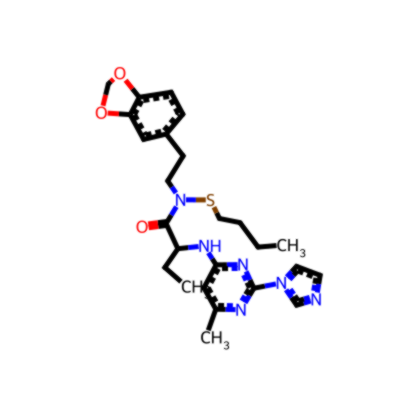 CCCCSN(CCc1ccc2c(c1)OCO2)C(=O)C(CC)Nc1cc(C)nc(-n2ccnc2)n1